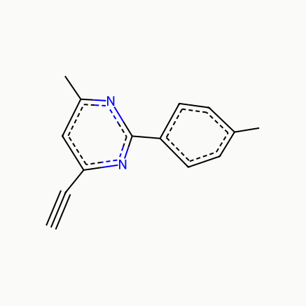 C#Cc1cc(C)nc(-c2ccc(C)cc2)n1